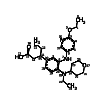 CCOc1ccc(Nc2cc([C@H](CC)CC(=O)O)ccc2N(CC)C2CCOCC2)cn1